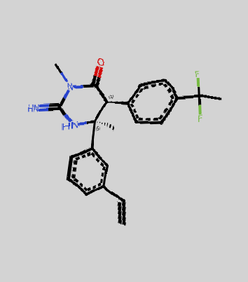 C=Cc1cccc([C@@]2(C)NC(=N)N(C)C(=O)[C@H]2c2ccc(C(C)(F)F)cc2)c1